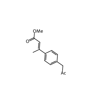 COC(=O)/C=C(\C)c1ccc(CC(C)=O)cc1